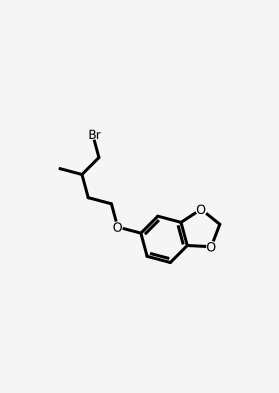 CC(CBr)CCOc1ccc2c(c1)OCO2